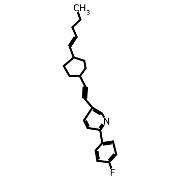 CCC/C=C/C1CCC(C#Cc2ccc(-c3ccc(F)cc3)nc2)CC1